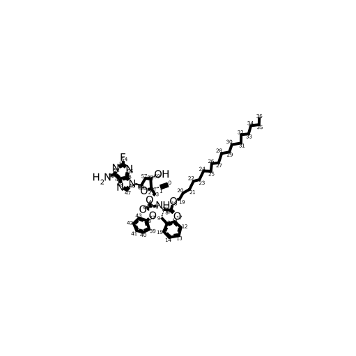 C#C[C@]1(COP(=O)(N[C@@H](Cc2ccccc2)C(=O)OCCCCCCCCCCCCCCCCCC)Oc2ccccc2)O[C@@H](n2cnc3c(N)nc(F)nc32)C[C@@H]1O